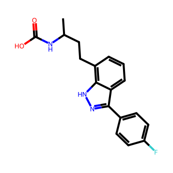 CC(CCc1cccc2c(-c3ccc(F)cc3)n[nH]c12)NC(=O)O